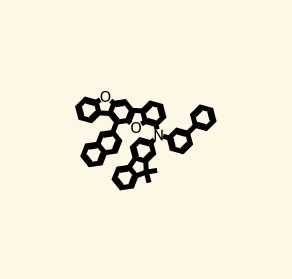 CC1(C)c2ccccc2-c2ccc(N(c3cccc(-c4ccccc4)c3)c3cccc4c3oc3c(-c5ccc6ccccc6c5)c5c(cc34)oc3ccccc35)cc21